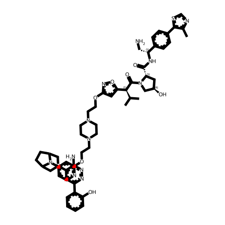 Cc1ncsc1-c1ccc([C@@H](CN)NC(=O)[C@@H]2C[C@@H](O)CN2C(=O)[C@H](c2cc(OCCN3CCN(CCOc4cc(N5C6CCC5CN(c5cc(-c7ccccc7O)nnc5N)C6)ccn4)CC3)no2)C(C)C)cc1